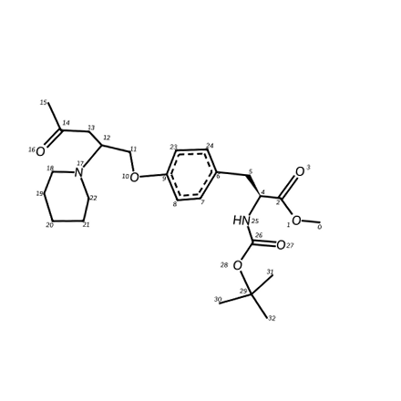 COC(=O)[C@H](Cc1ccc(OCC(CC(C)=O)N2CCCCC2)cc1)NC(=O)OC(C)(C)C